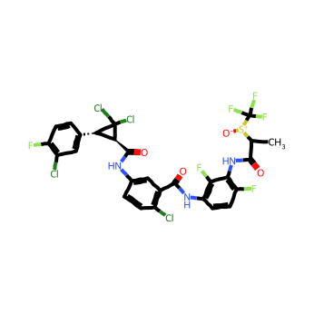 CC(C(=O)Nc1c(F)ccc(NC(=O)c2cc(NC(=O)[C@H]3[C@H](c4ccc(F)c(Cl)c4)C3(Cl)Cl)ccc2Cl)c1F)[S+]([O-])C(F)(F)F